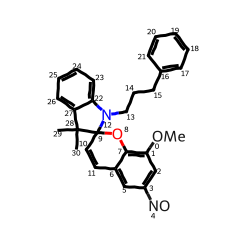 COc1cc(N=O)cc2c1OC1(C=C2)N(CCCc2ccccc2)c2ccccc2C1(C)C